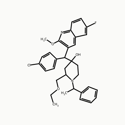 CCOCC1CC(O)(C(c2ccc(Cl)cc2)c2cc3cc(F)ccc3nc2OC)CCN1C(C)c1ccccc1